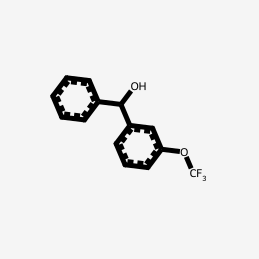 OC(c1ccccc1)c1cccc(OC(F)(F)F)c1